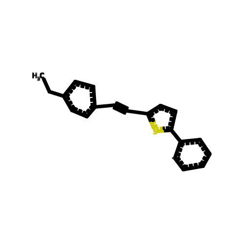 CCc1ccc(C#Cc2ccc(-c3[c]cccc3)s2)cc1